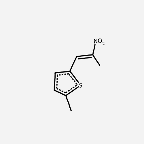 C/C(=C\c1ccc(C)s1)[N+](=O)[O-]